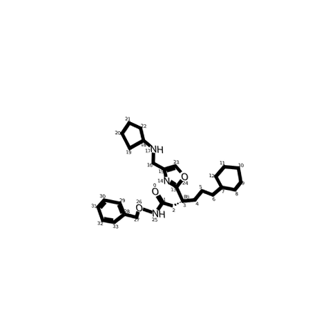 O=C(C[C@@H](CCCC1CCCCC1)c1nc(CNC2CCCC2)co1)NOCc1ccccc1